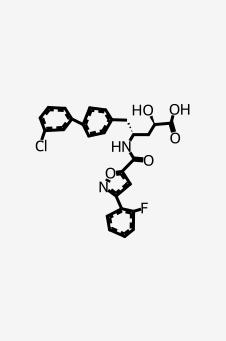 O=C(N[C@H](Cc1ccc(-c2cccc(Cl)c2)cc1)C[C@@H](O)C(=O)O)c1cc(-c2ccccc2F)no1